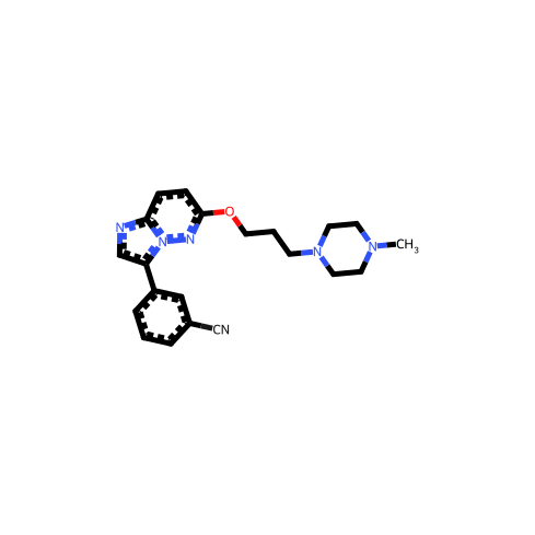 CN1CCN(CCCOc2ccc3ncc(-c4cccc(C#N)c4)n3n2)CC1